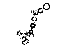 O=C(Nc1nccs1)C(c1ncn2c1CCC2)N1Cc2c(F)cc(-c3ccc(N4CCN(C(=O)CC5(O)CCN(C6CCCCCCCC6)CC5)CC4)cc3)cc2C1=O